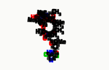 CC[C@H]1OC(=O)[C@H](C)[C@@H](O[C@H]2C[C@@](C)(OC)[C@@H](O)[C@H](C)O2)[C@H](C)[C@@H](O[C@@H]2O[C@H](C)C[C@H](N(C)C(=O)N3CCOCC3)[C@H]2O)[C@](C)(OC)C[C@@H](C)C(=O)[C@H](C)[C@H]2N(CCCOc3cc(C(=O)Nc4c(Cl)cncc4Cl)ccc3OC)C(=O)O[C@]12C